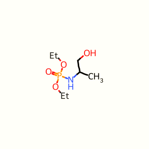 CCOP(=O)(NC(C)CO)OCC